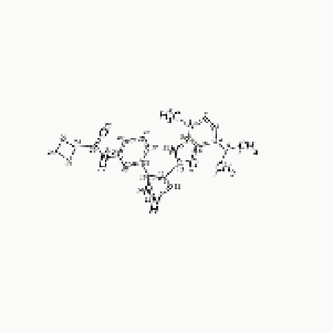 Cc1ccc(C(C)C)c2oc(-c3c[nH]nc3-c3cccc(NC(=O)C4CCC4)c3)nc12